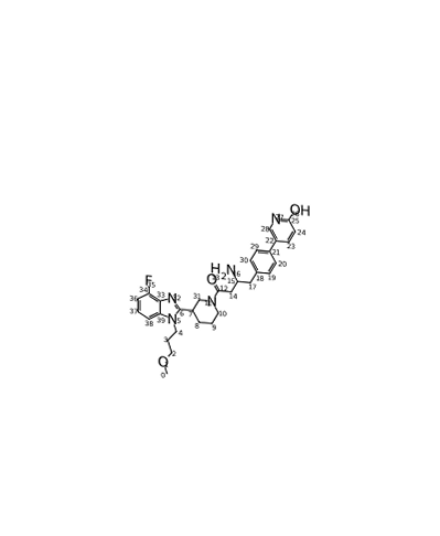 COCCCn1c(C2CCCN(C(=O)CC(N)Cc3ccc(-c4ccc(O)nc4)cc3)C2)nc2c(F)cccc21